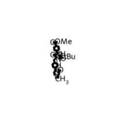 COC(=O)c1ccc(NC(=O)C(Cc2ccc(N3CCN(C)CC3=O)cc2)NC(=O)OC(C)(C)C)cc1